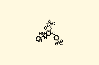 CCS(=O)(=O)c1ccc(Oc2cc3nc(-c4ccccn4)[nH]c3cc2CN2C(=O)CN(C)C2=O)cc1